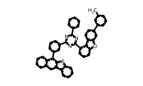 Cc1cccc(-c2ccc3c(c2)oc2cccc(-c4nc(-c5ccccc5)nc(-c5cccc(-c6c7ccccc7cc7c6sc6ccccc67)c5)n4)c23)c1